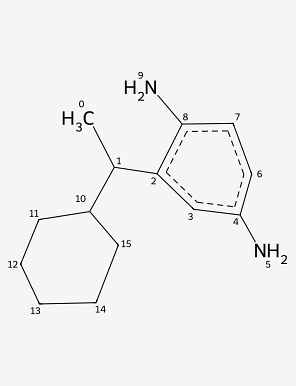 CC(c1cc(N)ccc1N)C1CCCCC1